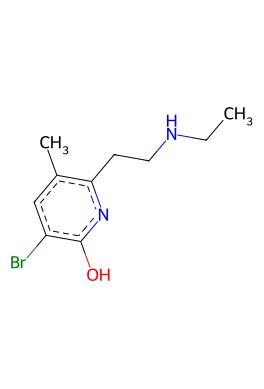 CCNCCc1nc(O)c(Br)cc1C